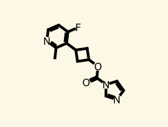 Cc1nccc(F)c1C1CC(OC(=O)n2ccnc2)C1